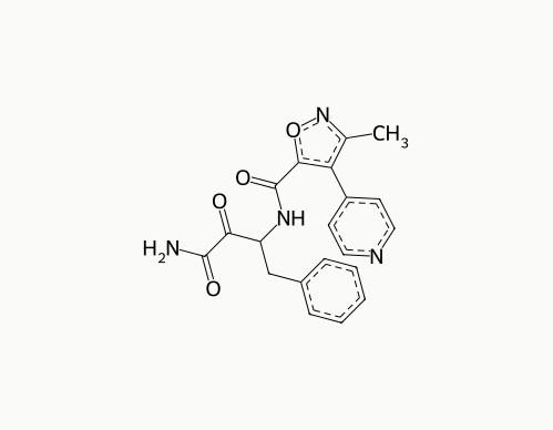 Cc1noc(C(=O)NC(Cc2ccccc2)C(=O)C(N)=O)c1-c1ccncc1